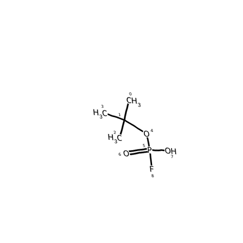 CC(C)(C)OP(=O)(O)F